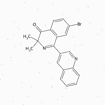 CC1(C)N=C(c2cnc3ccccc3c2)c2cc(Br)ccc2C1=O